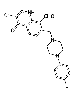 O=Cc1c(CN2CCN(c3ccc(F)cc3)CC2)ccc2c(=O)c(Cl)c[nH]c12